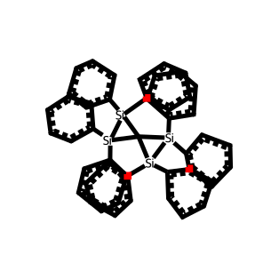 c1ccc([Si]2(c3ccccc3)C3([Si]2(c2ccccc2)c2ccccc2)[Si](c2ccccc2)(c2ccccc2)[Si]3(c2ccccc2)c2ccccc2)cc1